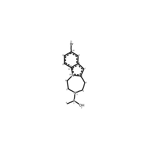 CB(O)N1CCc2cc3cc(Br)ccc3n2CC1